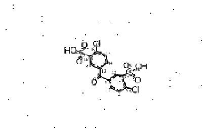 O=C(c1ccc(Cl)c(S(=O)(=O)O)c1)c1ccc(Cl)c(S(=O)(=O)O)c1